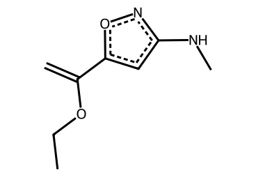 C=C(OCC)c1cc(NC)no1